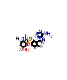 B[C@]1(NS(=O)(=O)c2ccc(C)c(-c3cnc4c(N)ncnn34)c2)CC[C@@](C)(O)CC1